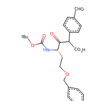 CC(C)(C)OC(=O)N[C@@H](CCOCc1ccccc1)C(=O)C(C(=O)O)c1ccc(C=O)cc1